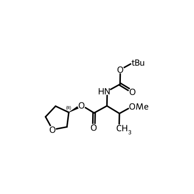 COC(C)C(NC(=O)OC(C)(C)C)C(=O)O[C@@H]1CCOC1